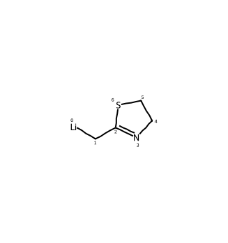 [Li][CH2]C1=NCCS1